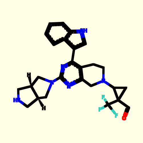 O=CC1(C(F)(F)F)CC1N1CCc2c(nc(N3C[C@H]4CNC[C@H]4C3)nc2-c2c[nH]c3ccccc23)C1